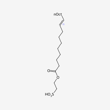 CCCCCCCC/C=C/CCCCCCCC(=O)OCCS(=O)(=O)O